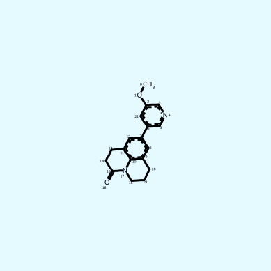 COc1cncc(-c2cc3c4c(c2)CCC(=O)N4CCC3)c1